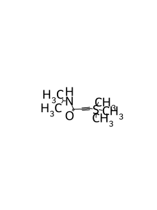 CC(C)NC(=O)C#CS(C)(C)C